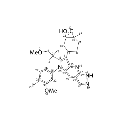 COCC(C)(C)c1c(C2CCC(C)(C(=O)O)CC2)c2nc3[nH]ncc3cc2n1-c1ccc(F)c(OC)c1